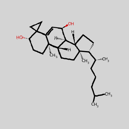 CC(C)CCC[C@@H](C)[C@H]1CC[C@H]2[C@@H]3[C@H](O)C=C4C5(CC5)[C@@H](O)CC[C@]4(C)[C@H]3CC[C@]12C